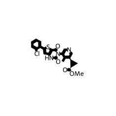 COC(=O)[C@H]1C[C@@H]1c1cncc(-n2c(=O)[nH]c3cc(-c4ccccc4Cl)sc3c2=O)c1C